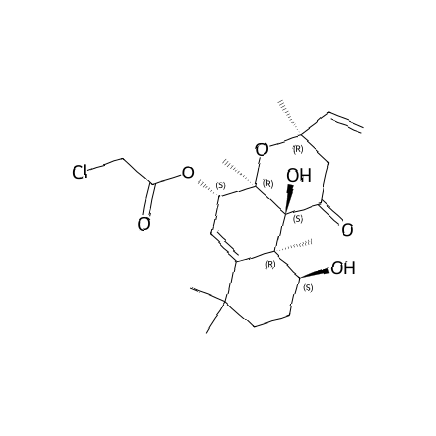 C=C[C@@]1(C)CC(=O)[C@@]2(O)[C@](C)(O1)[C@@H](OC(=O)CCl)C=C1C(C)(C)CC[C@H](O)[C@@]12C